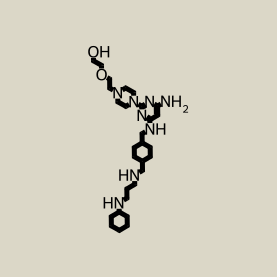 Nc1cc(NCC2CCC(CNCCCNC3CCCCC3)CC2)nc(N2CCN(CCOCCO)CC2)n1